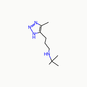 Cc1nn[nH]c1CCCNC(C)(C)C